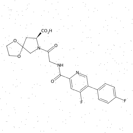 O=C(NCC(=O)N1CC2(C[C@H]1C(=O)O)OCCO2)c1cc(F)c(-c2ccc(F)cc2)cn1